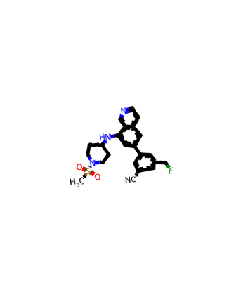 CS(=O)(=O)N1CCC(Nc2cc(-c3cc(C#N)cc(CF)c3)cc3ccncc23)CC1